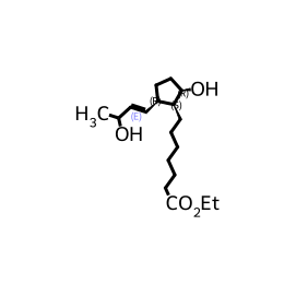 CCOC(=O)CCCCCC[C@@H]1[C@H](O)CC[C@@H]1/C=C/C(C)O